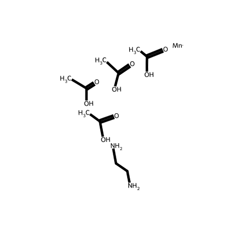 CC(=O)O.CC(=O)O.CC(=O)O.CC(=O)O.NCCN.[Mn]